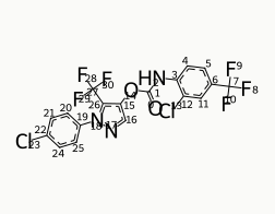 O=C(Nc1ccc(C(F)(F)F)cc1Cl)Oc1cnn(-c2ccc(Cl)cc2)c1C(F)(F)F